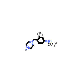 CN1CCN(Cc2ccc(NC(=O)O)cc2C(F)(F)F)CC1